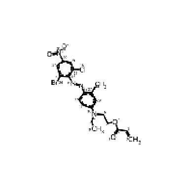 C=CC(=O)OCCN(CC)c1ccc(/N=N/c2c(Cl)cc([N+](=O)[O-])cc2Br)c(C)c1